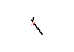 CCCCCCCCCCCC(=O)OCC(C)CCC